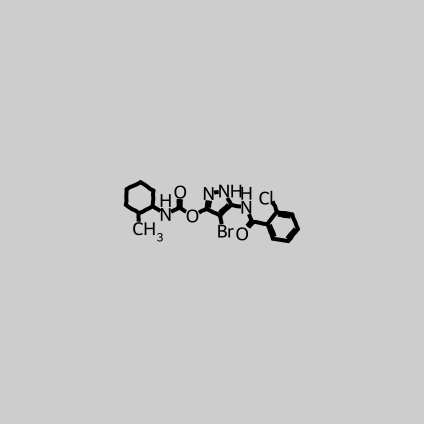 CC1CCCCC1NC(=O)Oc1n[nH]c(NC(=O)c2ccccc2Cl)c1Br